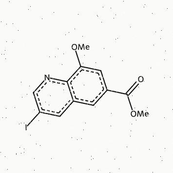 COC(=O)c1cc(OC)c2ncc(I)cc2c1